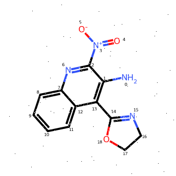 Nc1c([N+](=O)[O-])nc2ccccc2c1C1=NCCO1